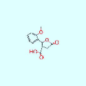 COc1ccccc1C1OC(=O)CC1C(=O)O